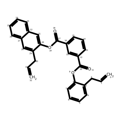 C=CCc1ccccc1OC(=O)c1cccc(C(=O)Oc2cc3ccccc3cc2CC=C)c1